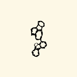 c1ccc2c(c1)-c1cccc3cc(-c4cccc5c4oc4ccccc45)cc-2c13